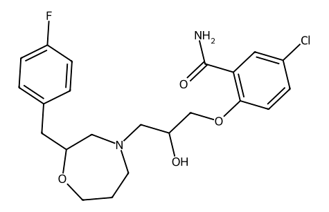 NC(=O)c1cc(Cl)ccc1OCC(O)CN1CCCOC(Cc2ccc(F)cc2)C1